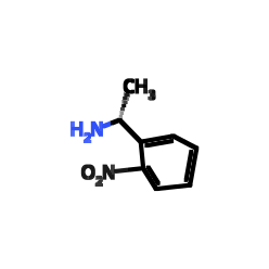 C[C@@H](N)c1ccccc1[N+](=O)[O-]